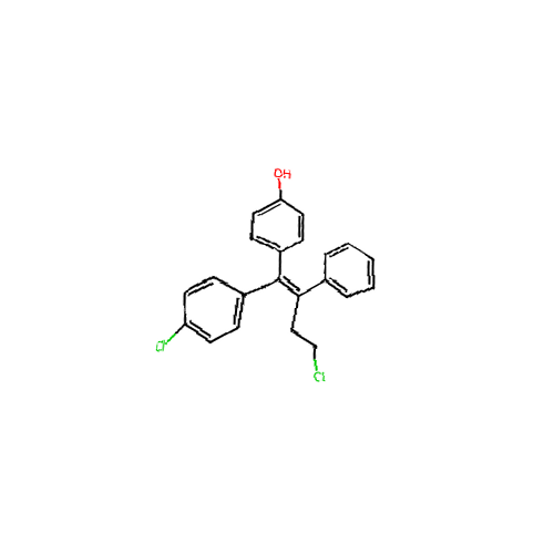 Oc1ccc(C(=C(CCCl)c2ccccc2)c2ccc(Cl)cc2)cc1